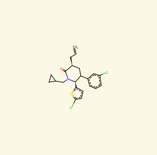 C=CC[C@H]1CC(c2cccc(Cl)c2)[C@@H](c2ccc(Cl)s2)N(CC2CC2)C1=O